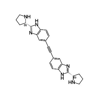 C(#Cc1ccc2[nH]c([C@@H]3CCCN3)nc2c1)c1ccc2[nH]c([C@@H]3CCCN3)nc2c1